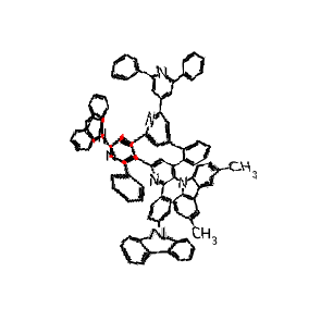 Cc1ccc2c(c1)c1cc(C)ccc1n2-c1c(-c2ccccc2-c2cc(-c3cc(-c4ccccc4)nc(-c4ccccc4)c3)nc(-c3cc(-c4ccccc4)nc(-c4ccccc4)c3)c2)cc(-c2ccc(-n3c4ccccc4c4ccccc43)cc2)nc1-c1ccc(-n2c3ccccc3c3ccccc32)cc1